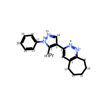 CCCc1c(-c2cc3c(nn2)CCCCC3)cnn1-c1ccccc1